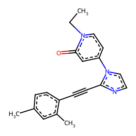 CCn1ccc(-n2ccnc2C#Cc2ccc(C)cc2C)cc1=O